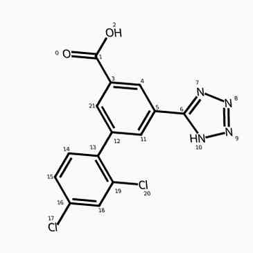 O=C(O)c1cc(-c2nnn[nH]2)cc(-c2ccc(Cl)cc2Cl)c1